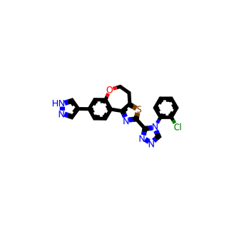 Clc1ccccc1-n1cnnc1-c1nc2c(s1)CCOc1cc(-c3cn[nH]c3)ccc1-2